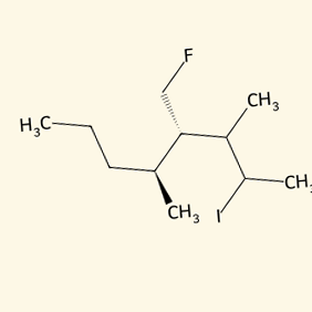 CCC[C@H](C)[C@H](CF)C(C)C(C)I